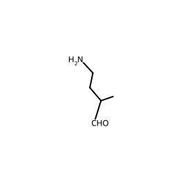 CC(C=O)CCN